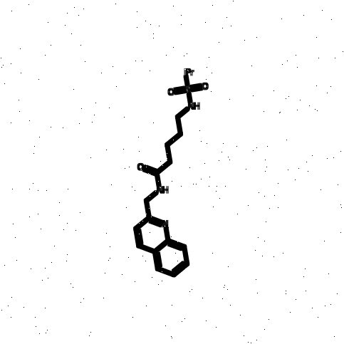 CC(C)S(=O)(=O)NCCCCC(=O)NCc1ccc2ccccc2n1